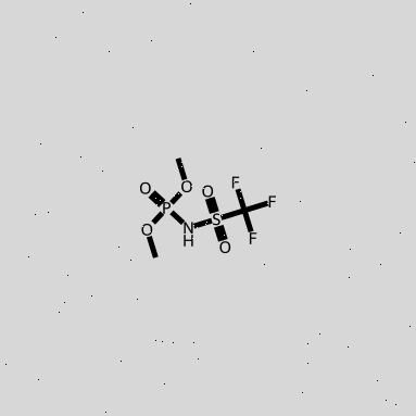 COP(=O)(NS(=O)(=O)C(F)(F)F)OC